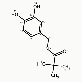 CC(C)(C)C(=O)NCc1ccc(O)c(O)c1